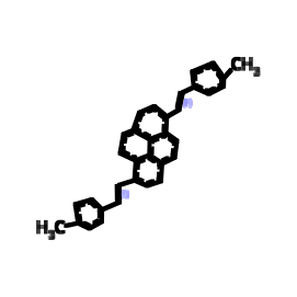 Cc1ccc(/C=C/c2ccc3ccc4c(/C=C/c5ccc(C)cc5)ccc5ccc2c3c54)cc1